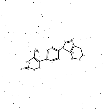 CC1=C(c2ccc(-n3cnc4c3CCCC4)cc2)CCC(=O)N1